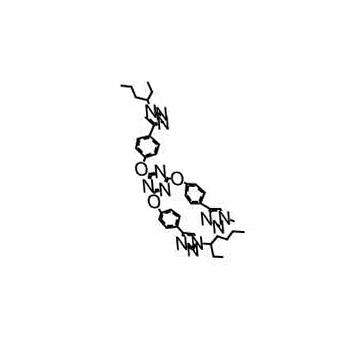 CCCCC(CC)n1cc(-c2ccc(Oc3nc(Oc4ccc(-c5cn(C)nn5)cc4)nc(Oc4ccc(-c5cn(C(CC)CCC)nn5)cc4)n3)cc2)nn1